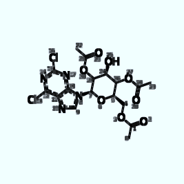 CC(=O)OC[C@H]1O[C@@H](n2cnc3c(Cl)nc(Cl)nc32)C(OC(C)=O)[C@@H](O)C1OC(C)=O